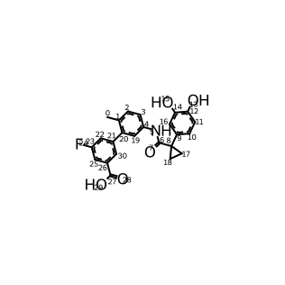 Cc1ccc(NC(=O)C2(c3ccc(O)c(O)c3)CC2)cc1-c1cc(F)cc(C(=O)O)c1